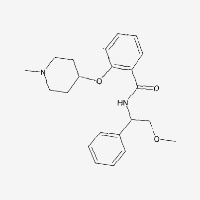 COCC(NC(=O)c1ccc[c]c1OC1CCN(C)CC1)c1ccccc1